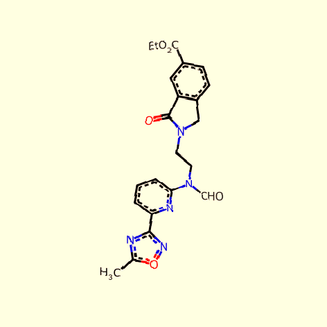 CCOC(=O)c1ccc2c(c1)C(=O)N(CCN(C=O)c1cccc(-c3noc(C)n3)n1)C2